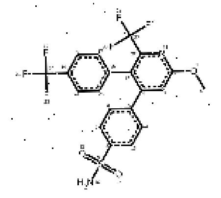 COc1cc(-c2ccc(S(N)(=O)=O)cc2)c(-c2ccc(C(F)(F)F)cc2)c(C(F)(F)F)n1